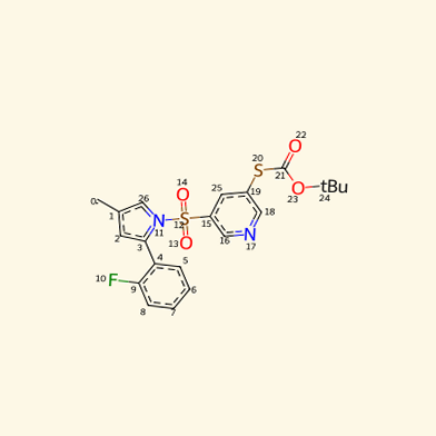 [CH2]c1cc(-c2ccccc2F)n(S(=O)(=O)c2cncc(SC(=O)OC(C)(C)C)c2)c1